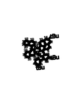 CC(C)(C)c1cc2ccc3c4c5c(c6ccc(c1)c2c36)-n1c2ccc3ccccc3c2c2c3ccccc3cc(c21)B5n1c2ccc(C(C)(C)C)cc2c2cc(C(C)(C)C)cc-4c21